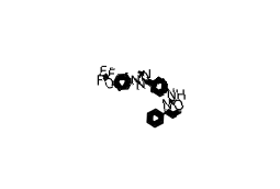 FC(F)(F)Oc1ccc(-n2cnc(-c3ccc(NC4=N[C@H](c5ccccc5)CCO4)cc3)n2)cc1